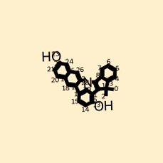 CC1(C)c2ccccc2-c2c1c1c(O)ccc3c4cc5ccc(O)cc5cc4n2c13